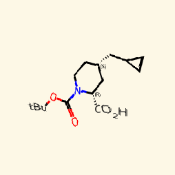 CC(C)(C)OC(=O)N1CC[C@H](CC2CC2)C[C@@H]1C(=O)O